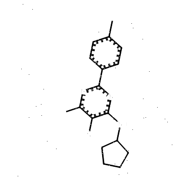 CCc1nc(-c2ccc(C)cc2)nc(NC2CCCC2)c1[N+](=O)[O-]